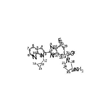 Cn1c(-c2cc3cccnc3n2CC2CC2)nc2cc(C(=O)N3CCC[C@@H](N)C3)cc(F)c21